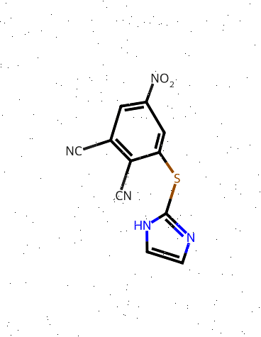 N#Cc1cc([N+](=O)[O-])cc(Sc2ncc[nH]2)c1C#N